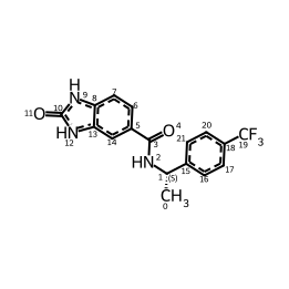 C[C@H](NC(=O)c1ccc2[nH]c(=O)[nH]c2c1)c1ccc(C(F)(F)F)cc1